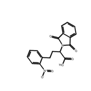 O=C(O)C(CCc1ccccc1[N+](=O)[O-])N1C(=O)c2ccccc2C1=O